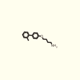 Cc1ccccc1-c1ccc(OCCCCN)cc1